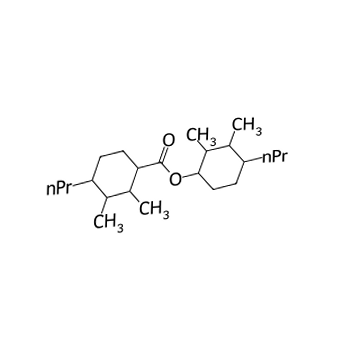 CCCC1CCC(OC(=O)C2CCC(CCC)C(C)C2C)C(C)C1C